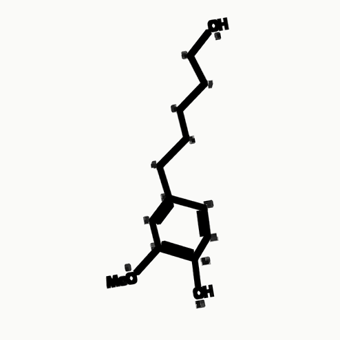 COc1cc(CCCCCO)ccc1O